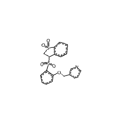 O=S1(=O)CC(S(=O)(=O)c2ccccc2OCc2cccnc2)c2ccccc21